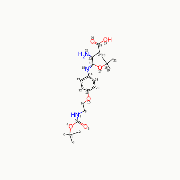 CC(C)(C)OC(=O)NCCOc1ccc(N=C(OC(C)(C)C)[C@@H](N)CC(=O)O)cc1